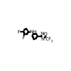 Fc1ccc(Nc2[c]ccc(-c3noc(C(F)(F)F)n3)c2)cc1F